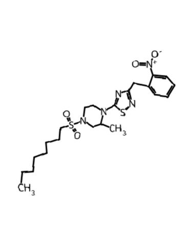 CCCCCCCCS(=O)(=O)N1CCN(c2nc(Cc3ccccc3[N+](=O)[O-])ns2)C(C)C1